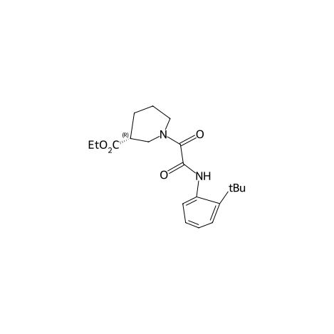 CCOC(=O)[C@@H]1CCCN(C(=O)C(=O)Nc2ccccc2C(C)(C)C)C1